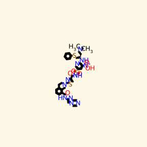 CN(C)CC[C@H](CSc1ccccc1)Nc1ncc(S(=O)(=O)NC(=O)c2csc(N3CCc4cccc(C(=O)Nc5cn6ccncc6n5)c4C3)n2)cc1[N+](=O)O